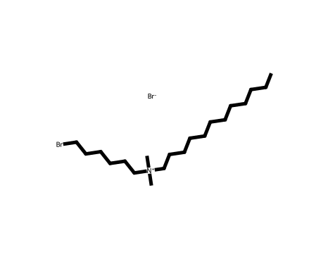 CCCCCCCCCCCC[N+](C)(C)CCCCCCBr.[Br-]